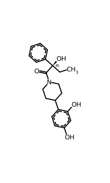 CC[C@](O)(C(=O)N1CCC(c2ccc(O)cc2O)CC1)c1ccccc1